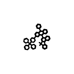 CC1(C)c2ccccc2-c2c1cc(-c1c3ccccc3c(-c3ccccc3)c3ccc(C4=CC=C(C(C5=CC=CCC5)(C5C=CC=CC5)C5CC=CCC5)CC4)cc13)c1ccccc21